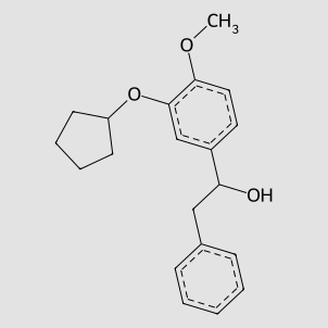 COc1ccc(C(O)Cc2ccccc2)cc1OC1CCCC1